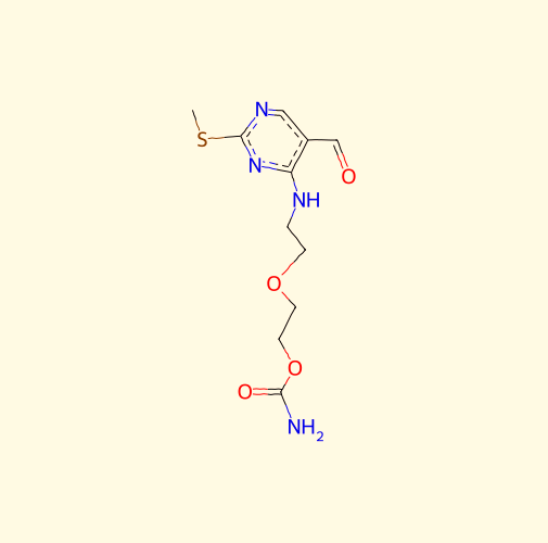 CSc1ncc(C=O)c(NCCOCCOC(N)=O)n1